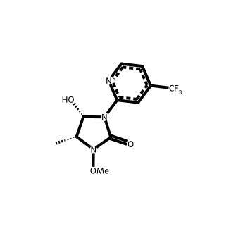 CON1C(=O)N(c2cc(C(F)(F)F)ccn2)[C@@H](O)[C@H]1C